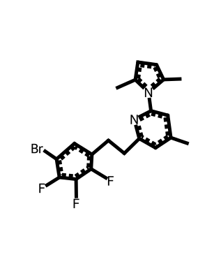 Cc1cc(CCc2cc(Br)c(F)c(F)c2F)nc(-n2c(C)ccc2C)c1